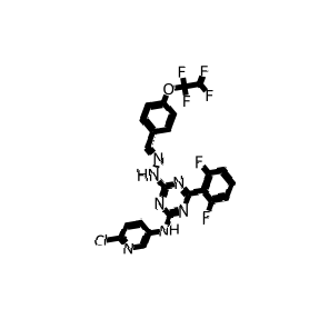 Fc1cccc(F)c1-c1nc(N/N=C/c2ccc(OC(F)(F)C(F)F)cc2)nc(Nc2ccc(Cl)nc2)n1